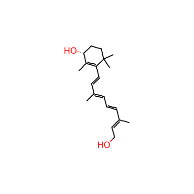 CC(C=CC1=C(C)[C@H](O)CCC1(C)C)=CC=CC(C)=CCO